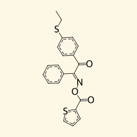 CCSc1ccc(C(=O)/C(=N/OC(=O)c2cccs2)c2ccccc2)cc1